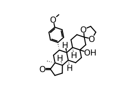 COc1ccc([C@H]2C[C@]3(C)C(=O)CC[C@@H]3[C@@H]3CCC4(O)CC5(CC[C@@H]4[C@H]32)OCCO5)cc1